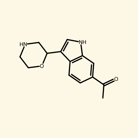 CC(=O)c1ccc2c(C3CNCCO3)c[nH]c2c1